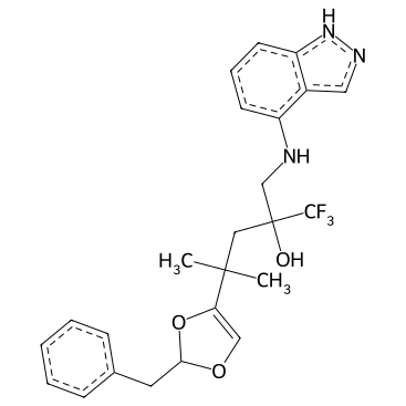 CC(C)(CC(O)(CNc1cccc2[nH]ncc12)C(F)(F)F)C1=COC(Cc2ccccc2)O1